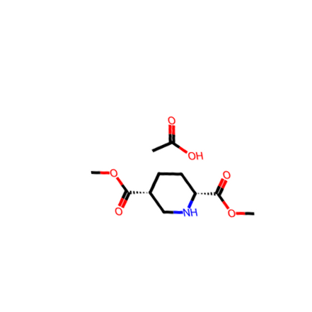 CC(=O)O.COC(=O)[C@@H]1CC[C@H](C(=O)OC)NC1